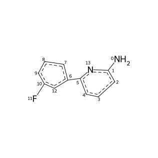 Nc1cccc(-c2cccc(F)c2)n1